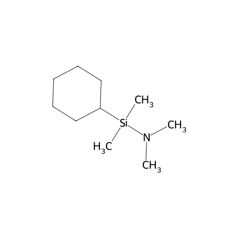 CN(C)[Si](C)(C)C1CCCCC1